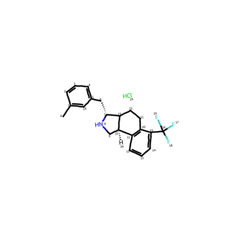 Cc1cccc(C[C@H]2NC[C@@H]3c4cccc(C(F)(F)F)c4CCC32)c1.Cl